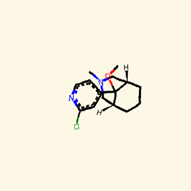 COC1(c2ccnc(Cl)c2)[C@@H]2CCC[C@H]1CN(C)C2